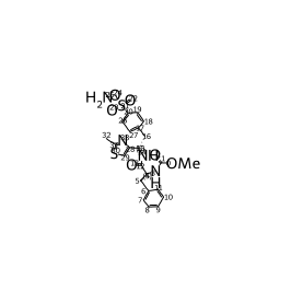 COC(=O)N[C@@H](Cc1ccccc1)C(=O)N[C@@H](Cc1ccc(S(=O)(=O)ON)cc1)c1csc(C)n1